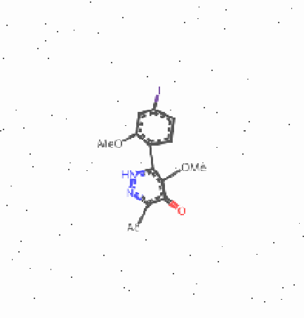 COc1cc(I)ccc1-c1[nH]nc(C(C)=O)c(=O)c1OC